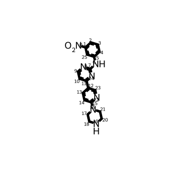 O=[N+]([O-])c1cccc(Nc2nccc(-c3ccc(N4CCNCC4)nc3)n2)c1